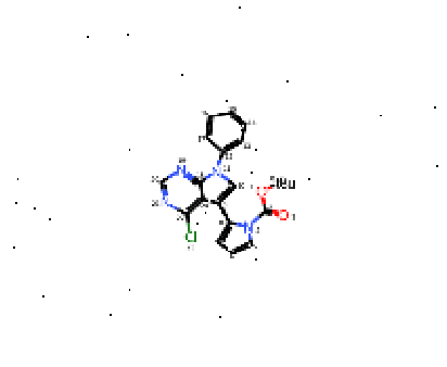 CC(C)(C)OC(=O)n1cccc1-c1cn(-c2ccccc2)c2ncnc(Cl)c12